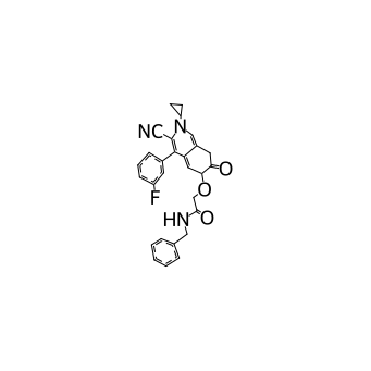 N#CC1=C(c2cccc(F)c2)C2=CC(OCC(=O)NCc3ccccc3)C(=O)CC2=CN1C1CC1